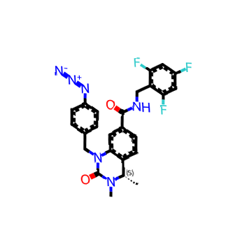 C[C@H]1c2ccc(C(=O)NCc3c(F)cc(F)cc3F)cc2N(Cc2ccc(N=[N+]=[N-])cc2)C(=O)N1C